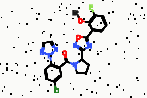 CCOc1c(F)cccc1-c1nc(C2CCCN2C(=O)c2cc(Cl)ccc2-n2nccn2)no1